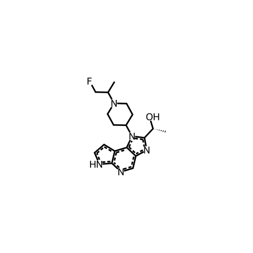 CC(CF)N1CCC(n2c([C@@H](C)O)nc3cnc4[nH]ccc4c32)CC1